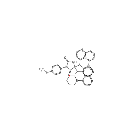 CC(c1ccnc2cccc(N3CCCCC3)c12)C1(C(C)c2ccnc3cccc(N4CCCCC4)c23)NC(=O)N(c2ccc(SC(F)(F)F)cc2)C1=O